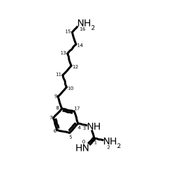 N=C(N)Nc1cccc(CCCCCCCN)c1